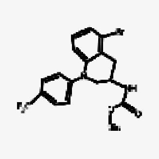 CC(C)(C)OC(=O)NC1Cc2c(Br)cccc2N(c2ccc(C(F)(F)F)cc2)C1